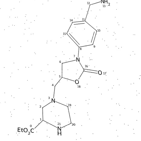 CCOC(=O)C1CN(CC2CN(c3ccc(CN)cc3)C(=O)O2)CCN1